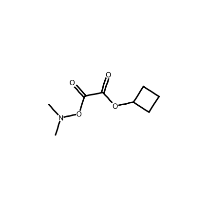 CN(C)OC(=O)C(=O)OC1CCC1